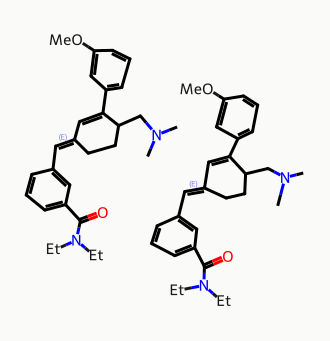 CCN(CC)C(=O)c1cccc(/C=C2/C=C(c3cccc(OC)c3)C(CN(C)C)CC2)c1.CCN(CC)C(=O)c1cccc(/C=C2/C=C(c3cccc(OC)c3)C(CN(C)C)CC2)c1